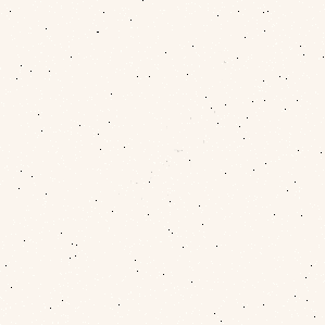 CCCCCCC(F)(F)C(F)(F)C(F)(F)C(F)(F)CCCCCO